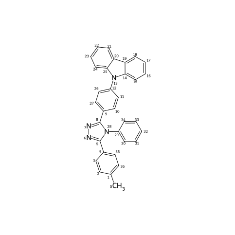 Cc1ccc(-c2nnc(-c3ccc(-n4c5ccccc5c5ccccc54)cc3)n2-c2ccccc2)cc1